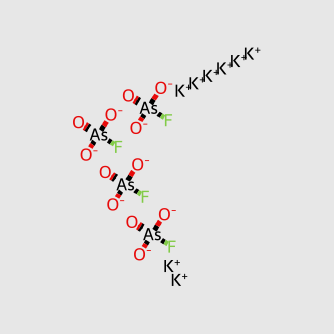 O=[As]([O-])([O-])F.O=[As]([O-])([O-])F.O=[As]([O-])([O-])F.O=[As]([O-])([O-])F.[K+].[K+].[K+].[K+].[K+].[K+].[K+].[K+]